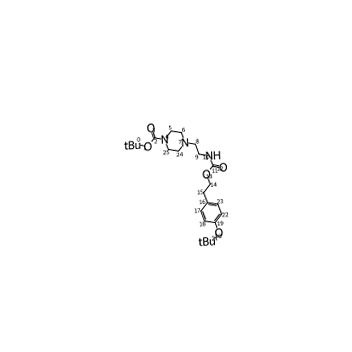 CC(C)(C)OC(=O)N1CCN(CCNC(=O)OCCc2ccc(OC(C)(C)C)cc2)CC1